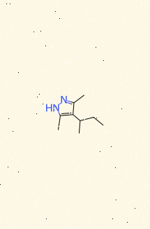 CCC(C)c1c(C)n[nH]c1C